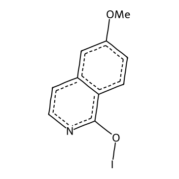 COc1ccc2c(OI)nccc2c1